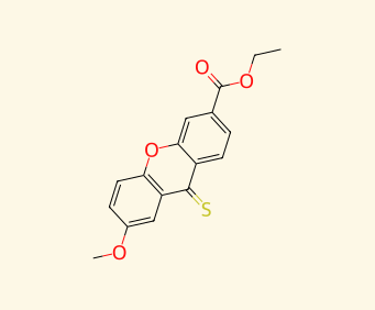 CCOC(=O)c1ccc2c(=S)c3cc(OC)ccc3oc2c1